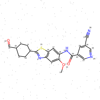 COc1cc2nc(C3CCC(C=O)CC3)sc2cc1NC(=O)c1cncc(C#N)c1